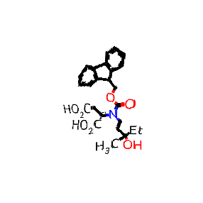 CCC(C)(O)CCN(C(=O)OCC1c2ccccc2-c2ccccc21)[C@@H](CC(=O)O)C(=O)O